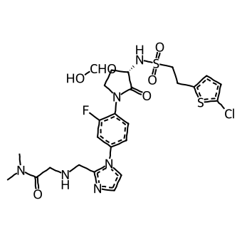 CN(C)C(=O)CNCc1nccn1-c1ccc(N2CC[C@H](NS(=O)(=O)CCc3ccc(Cl)s3)C2=O)c(F)c1.O=CO